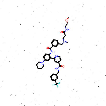 COCCNC(=O)CCN(C)Cc1cccc(C(=O)Nc2ccc(N3CCCCC3)cc2-c2cc(C(=O)NCc3cccc(C(F)(F)F)c3)ccn2)c1